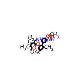 CC(=O)OCC1O[C@@H](Oc2cccc(C)c2-c2cccc(NS(C)(=O)=O)c2)C(CN)[C@@H](C)[C@H]1C